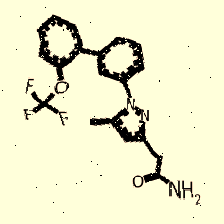 Cc1cc(CC(N)=O)nn1-c1cccc(-c2ccccc2OC(F)(F)F)c1